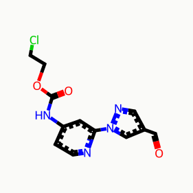 O=Cc1cnn(-c2cc(NC(=O)OCCCl)ccn2)c1